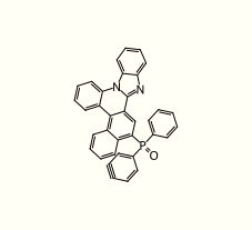 O=P(c1cc#ccc1)(c1ccccc1)c1cc2c(c3ccccc13)c1ccccc1n1c3ccccc3nc21